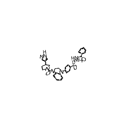 O=C(NNOC(=O)c1ccc(N2CCN(C(=O)N3CCC(c4cn[nH]c4)C3)c3ccccc32)cc1)c1ccccc1